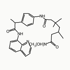 CC(CC(=O)N(C)O)CC(C)(C)CC(=O)Nc1ccc(C(C)C(=O)Nc2cccc3cccnc23)cc1